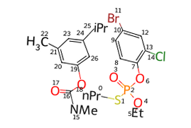 CCCSP(=O)(OCC)Oc1ccc(Br)cc1Cl.CNC(=O)Oc1cc(C)cc(C(C)C)c1